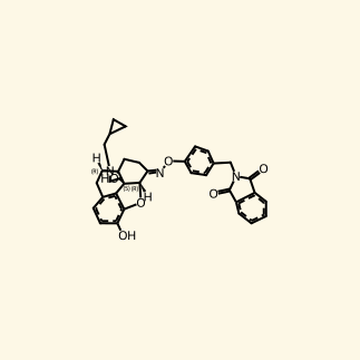 O=C1c2ccccc2C(=O)N1Cc1ccc(ON=C2CCC3(O)[C@H]4Cc5ccc(O)c6c5[C@@]3(CCN4CC3CC3)[C@H]2O6)cc1